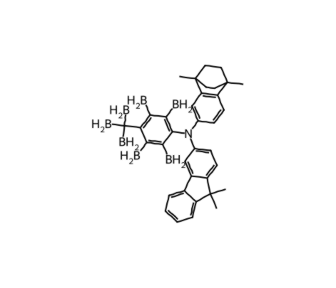 Bc1c(B)c(C(B)(B)B)c(B)c(B)c1N(c1ccc2c(c1)-c1ccccc1C2(C)C)c1ccc2c(c1)C1(C)CCC2(C)CC1